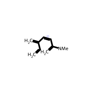 C=CC(=C)/C=C\C(=C)NC